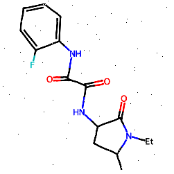 CCN1C(=O)C(NC(=O)C(=O)Nc2ccccc2F)CC1C